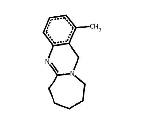 Cc1cccc2c1CN1CCCCCC1=N2